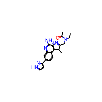 CCN(CC1=Nc2c(N)nc3cc(-c4cc[nH]n4)ccc3c2C1C)C(C)=O